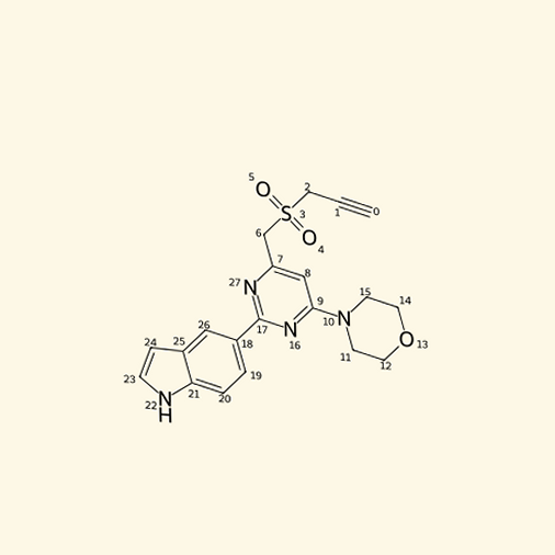 C#CCS(=O)(=O)Cc1cc(N2CCOCC2)nc(-c2ccc3[nH]ccc3c2)n1